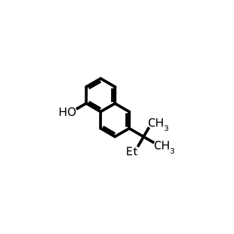 CCC(C)(C)c1ccc2c(O)cccc2c1